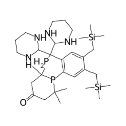 CC1(C)CC(=O)CC(C)(C)P1c1cc(C[Si](C)(C)C)c(C[Si](C)(C)C)cc1C(P)(C1NCCCN1)C1NCCCN1